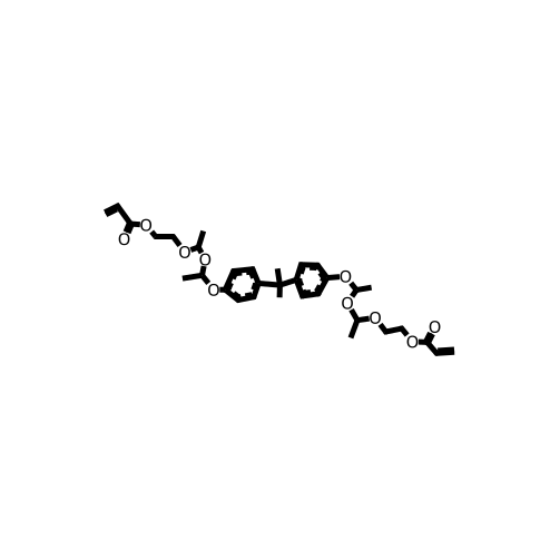 C=CC(=O)OCCOC(C)OC(C)Oc1ccc(C(C)(C)c2ccc(OC(C)OC(C)OCCOC(=O)C=C)cc2)cc1